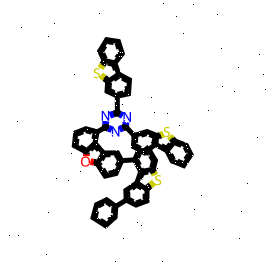 c1ccc(-c2ccc3sc4cccc(-c5ccc6oc7cccc(-c8nc(-c9ccc%10c(c9)sc9ccccc9%10)nc(-c9ccc%10c(c9)sc9ccccc9%10)n8)c7c6c5)c4c3c2)cc1